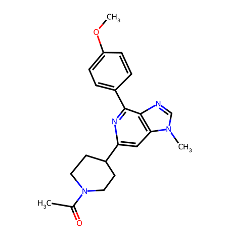 COc1ccc(-c2nc(C3CCN(C(C)=O)CC3)cc3c2ncn3C)cc1